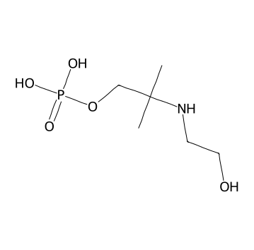 CC(C)(COP(=O)(O)O)NCCO